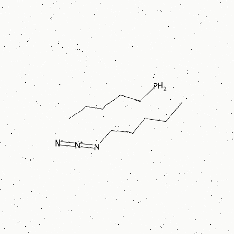 CCCCCN=[N+]=[N-].CCCCCP